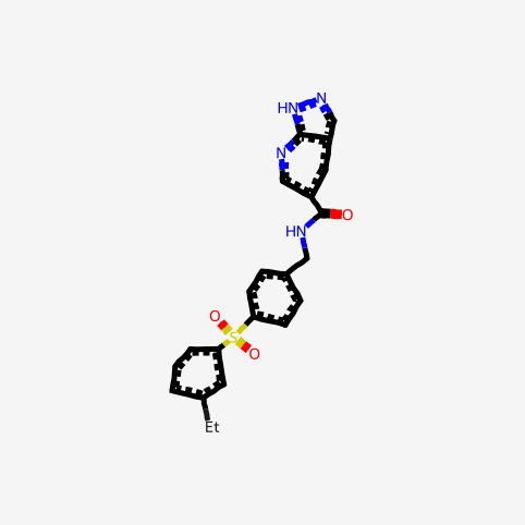 CCc1cccc(S(=O)(=O)c2ccc(CNC(=O)c3cnc4[nH]ncc4c3)cc2)c1